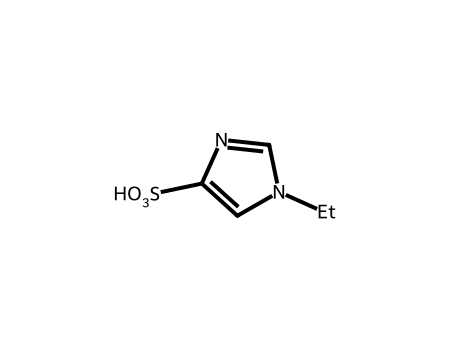 CCn1cnc(S(=O)(=O)O)c1